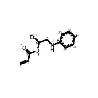 C=CC(=O)OC(CC)CNc1ccccc1